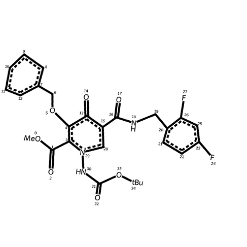 COC(=O)c1c(OCc2ccccc2)c(=O)c(C(=O)NCc2ccc(F)cc2F)cn1NC(=O)OC(C)(C)C